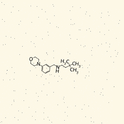 CC(C)(C)CCNCc1cccc(N2CCOCC2)c1